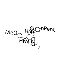 CCCCCc1ccc(S(=O)(=O)NCCc2c(-c3cccn3C)n[nH]c2-c2ccc(OC)cc2)cc1